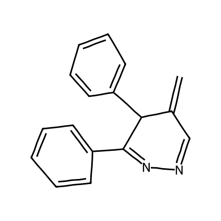 C=C1C=NN=C(c2ccccc2)C1c1ccccc1